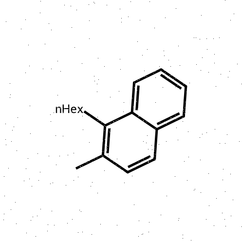 CCCCCCc1c(C)ccc2ccccc12